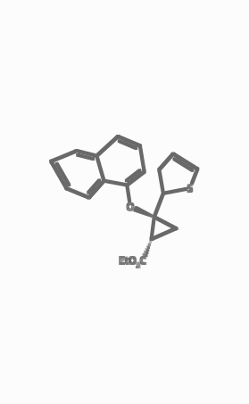 CCOC(=O)[C@H]1C[C@@]1(Oc1cccc2ccccc12)C1CC=CS1